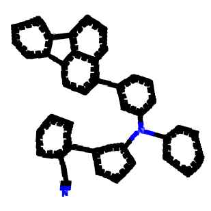 N#Cc1ccccc1-c1cccc(N(c2ccccc2)c2cccc(-c3ccc4c5c(cccc35)-c3ccccc3-4)c2)c1